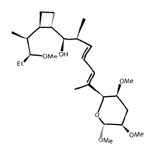 CC[C@H](OC)[C@@H](C)[C@H]1CC[C@@H]1[C@H](O)[C@@H](C)/C=C/C=C(\C)[C@@H]1O[C@@H](OC)[C@H](OC)C[C@@H]1OC